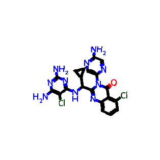 Nc1cnc(-n2c(C(Nc3nc(N)nc(N)c3Cl)C3CC3)nc3cccc(Cl)c3c2=O)cn1